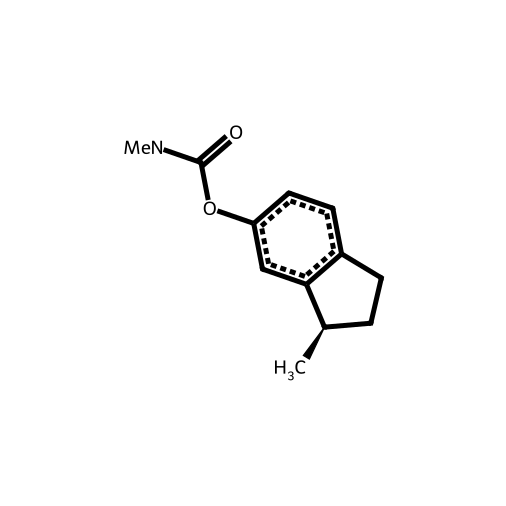 CNC(=O)Oc1ccc2c(c1)[C@H](C)CC2